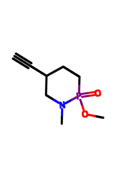 C#CC1CCP(=O)(OC)N(C)C1